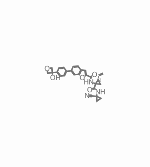 C=C[C@@H]1CC1(NC(=O)c1cc2ccc(-c3ccc(C4(O)COC4)cc3)cc2o1)C(=O)NC1(C#N)CC1